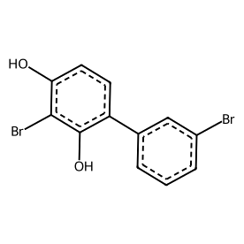 Oc1ccc(-c2cccc(Br)c2)c(O)c1Br